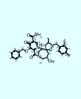 CC1C[C@]2(C[C@@H](O)[C@H](C)N3C[C@H]2n2cc(C(N)=O)c(=O)c(OCc4ccccc4)c2C3=O)ON1Cc1ccc(F)cc1F